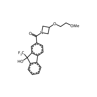 COCCOC1CN(C(=O)c2ccc3c(c2)C(O)(C(F)(F)F)c2ccccc2-3)C1